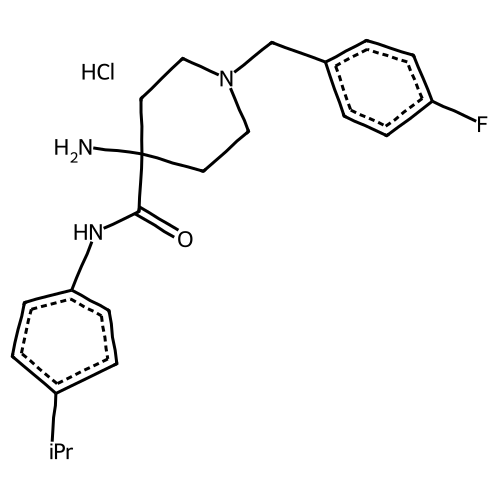 CC(C)c1ccc(NC(=O)C2(N)CCN(Cc3ccc(F)cc3)CC2)cc1.Cl